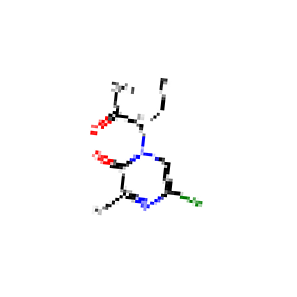 COC(=O)[C@H](CC(C)C)n1cc(Br)nc(C(C)C)c1=O